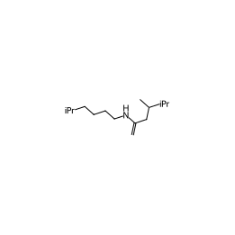 C=C(CC(C)C(C)C)NCCCCC(C)C